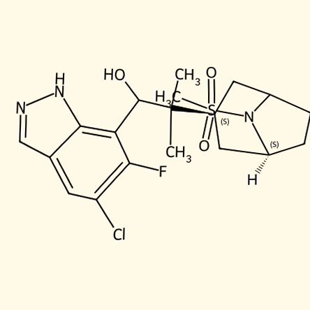 CC(C)(C(O)c1c(F)c(Cl)cc2cn[nH]c12)[C@H]1CC2CC[C@@H](C1)N2S(C)(=O)=O